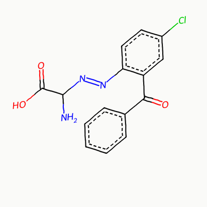 NC(N=Nc1ccc(Cl)cc1C(=O)c1ccccc1)C(=O)O